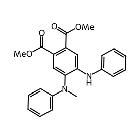 COC(=O)c1cc(Nc2ccccc2)c(N(C)c2ccccc2)cc1C(=O)OC